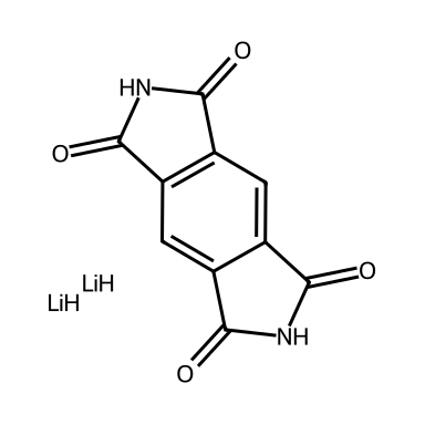 O=c1[nH]c(=O)c2cc3c(=O)[nH]c(=O)c3cc12.[LiH].[LiH]